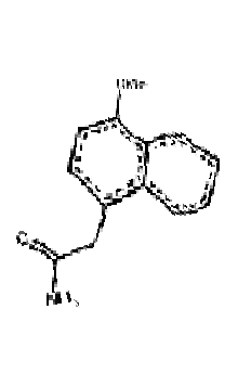 COc1ccc(CC(N)=O)c2ccccc12